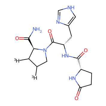 [3H]C1CN(C(=O)[C@H](Cc2c[nH]cn2)NC(=O)[C@@H]2CCC(=O)N2)[C@H](C(N)=O)C1[3H]